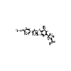 O=Cc1ccc(-c2cn(Cc3ccc(-c4nnc(C(F)F)o4)cc3F)nn2)cn1